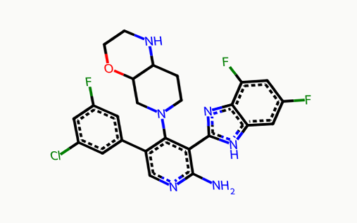 Nc1ncc(-c2cc(F)cc(Cl)c2)c(N2CCC3NCCOC3C2)c1-c1nc2c(F)cc(F)cc2[nH]1